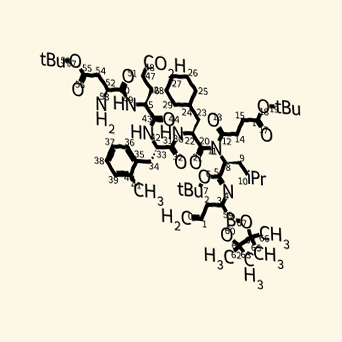 C=CCC(N=C(OC(C)(C)C)[C@H](CC(C)C)N(C(=O)CCC(=O)OC(C)(C)C)C(=O)[C@H](CC1CCCCC1)NC(=O)[C@H](Cc1ccccc1C)NC(=O)[C@H](CCC(=O)O)NC(=O)[C@@H](N)CC(=O)OC(C)(C)C)B1OC(C)(C)C(C)(C)O1